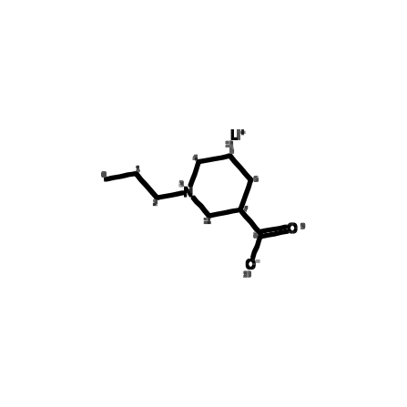 CCCN1CCCC(C(=O)[O-])C1.[Li+]